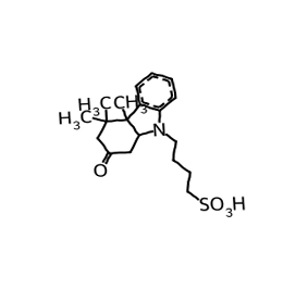 CC1(C)CC(=O)CC2N(CCCCS(=O)(=O)O)c3ccccc3C21C